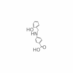 O=C(O)c1ccc(NCc2ccccc2O)cc1